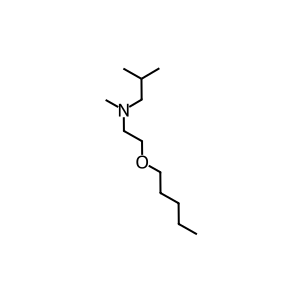 CCCCCOCCN(C)CC(C)C